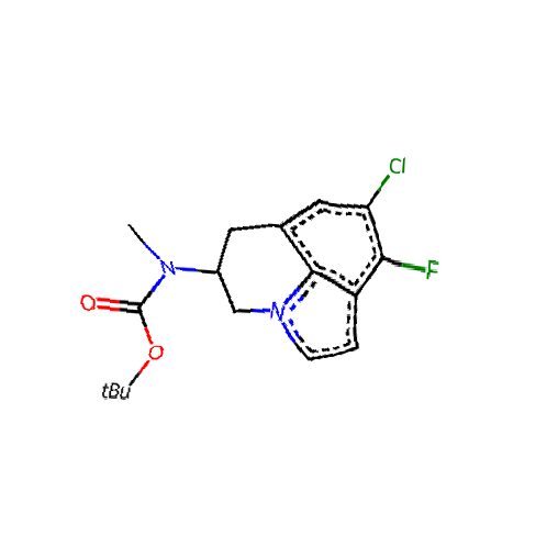 CN(C(=O)OC(C)(C)C)C1Cc2cc(Cl)c(F)c3ccn(c23)C1